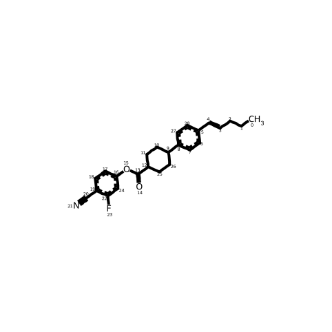 CCCC=Cc1ccc(C2CCC(C(=O)Oc3ccc(C#N)c(F)c3)CC2)cc1